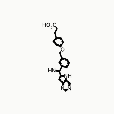 N=C(c1cccc(COc2ccc(CCC(=O)O)cc2)c1)c1cc2ncncc2[nH]1